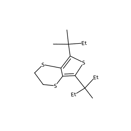 CCC(C)(C)c1sc(C(C)(CC)CC)c2c1SCCS2